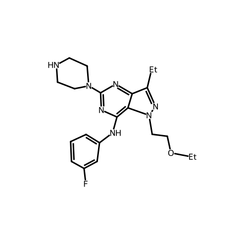 CCOCCn1nc(CC)c2nc(N3CCNCC3)nc(Nc3cccc(F)c3)c21